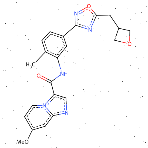 COc1ccn2c(C(=O)Nc3cc(-c4noc(CC5COC5)n4)ccc3C)cnc2c1